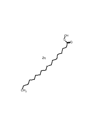 CCCCCCCCCCCCCCCCCC(=O)OO.[Zn]